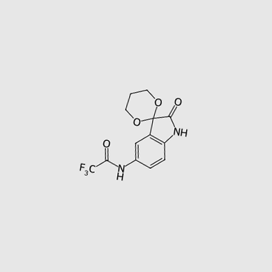 O=C(Nc1ccc2c(c1)C1(OCCCO1)C(=O)N2)C(F)(F)F